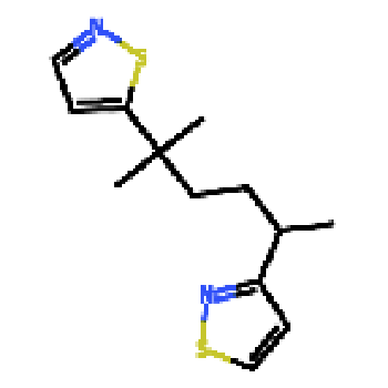 CC(CCC(C)(C)c1ccns1)c1ccsn1